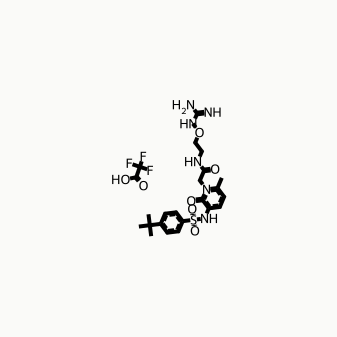 Cc1ccc(NS(=O)(=O)c2ccc(C(C)(C)C)cc2)c(=O)n1CC(=O)NCCONC(=N)N.O=C(O)C(F)(F)F